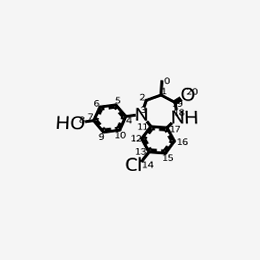 CC1CN(c2ccc(O)cc2)c2cc(Cl)ccc2NC1=O